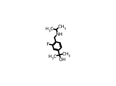 CC(C)NCc1ccc(C(C)(C)O)cc1F